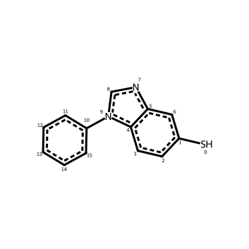 Sc1ccc2c(c1)ncn2-c1ccccc1